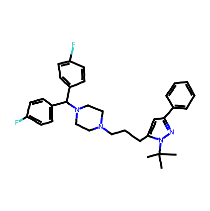 CC(C)(C)n1nc(-c2ccccc2)cc1CCCN1CCN(C(c2ccc(F)cc2)c2ccc(F)cc2)CC1